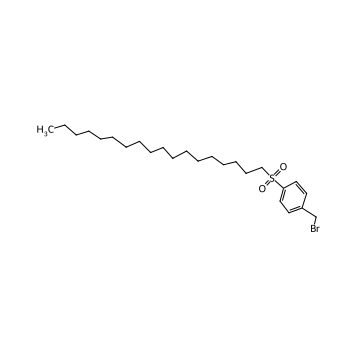 CCCCCCCCCCCCCCCCCCS(=O)(=O)c1ccc(CBr)cc1